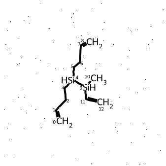 C=CCC[SiH](CCC=C)[SiH](C)C=C